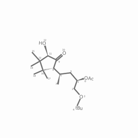 CC(=O)O[C@@H](COC(C)(C)C)C[C@@H](C)[C@H]1C(=O)[C@H](O)C(C)(C)C1(C)C